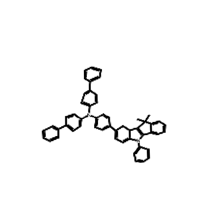 CC1(C)C2=C(c3ccccc31)N(c1ccccc1)C1=CC=C(c3ccc(N(c4ccc(-c5ccccc5)cc4)c4ccc(-c5ccccc5)cc4)cc3)CC12